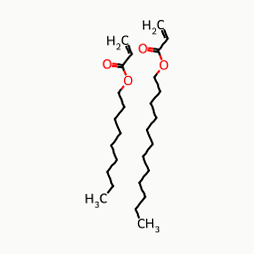 C=CC(=O)OCCCCCCCCC.C=CC(=O)OCCCCCCCCCCCC